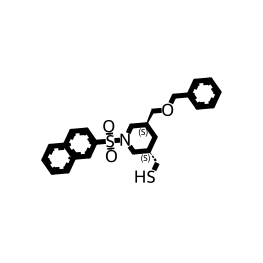 O=S(=O)(c1ccc2ccccc2c1)N1C[C@@H](CS)C[C@H](COCc2ccccc2)C1